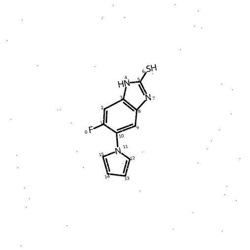 Fc1cc2[nH]c(S)nc2cc1-n1cccc1